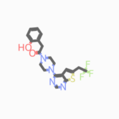 O=C(Cc1ccccc1O)N1CCN(c2ncnc3sc(CC(F)(F)F)cc23)CC1